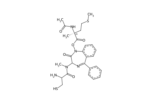 CSCC[C@](C)(NC(C)=O)C(=O)ON1C(=O)C(N(C)C(=O)C(N)CS)N=C(c2ccccc2)c2ccccc21